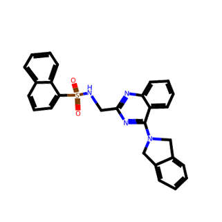 O=S(=O)(NCc1nc(N2Cc3ccccc3C2)c2ccccc2n1)c1cccc2ccccc12